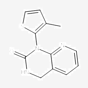 Cc1ccsc1N1C(=O)NCc2cccnc21